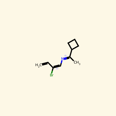 C=C/C(Br)=C\N=C(/C)C1CCC1